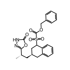 C[C@@H](C[C@@H]1Cc2ccccc2C(S(=O)(=O)C(=O)OCc2ccccc2)C1)c1n[nH]c(=O)o1